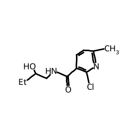 CCC(O)CNC(=O)c1ccc(C)nc1Cl